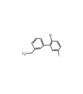 FC(F)(F)Cc1cccc(-c2cc(I)c[c]c2Cl)c1